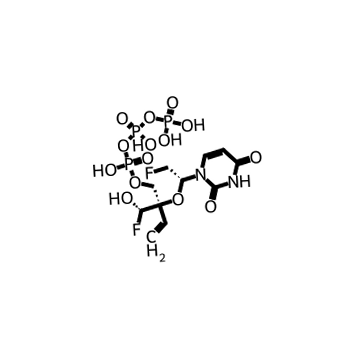 C=C[C@](COP(=O)(O)OP(=O)(O)OP(=O)(O)O)(O[C@H](CF)n1ccc(=O)[nH]c1=O)[C@@H](O)F